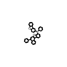 C1=CCC(N(C2=CCC3Oc4ccccc4C3=C2)c2cccc3c2oc2cc(-c4ccccc4)c4ccccc4c23)C=C1